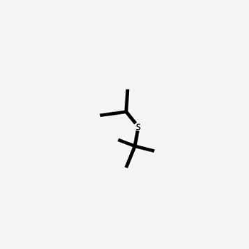 CC(C)SC(C)(C)C